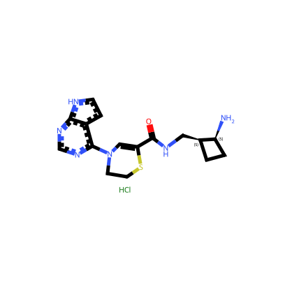 Cl.N[C@H]1CC[C@H]1CNC(=O)C1=CN(c2ncnc3[nH]ccc23)CCS1